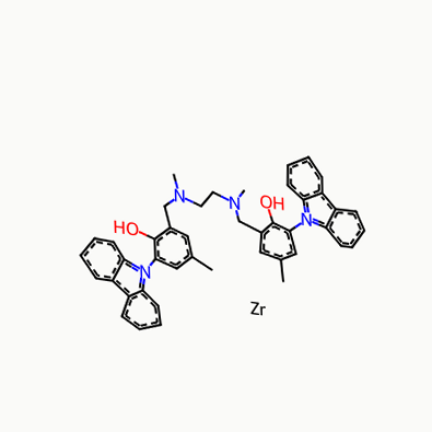 Cc1cc(CN(C)CCN(C)Cc2cc(C)cc(-n3c4ccccc4c4ccccc43)c2O)c(O)c(-n2c3ccccc3c3ccccc32)c1.[Zr]